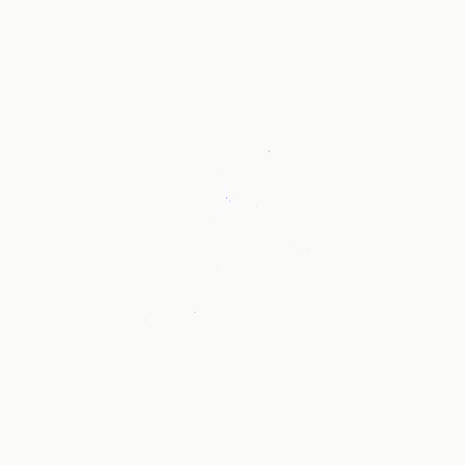 O=C(O)Cc1cn(CC2CC2)c2ccc(-c3cccs3)cc12